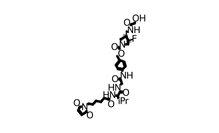 CC(C)C(NC(=O)CCCCCN1C(=O)C=CC1=O)C(=O)NCC(=O)Nc1ccc(COC(=O)N2C[C@@H](CNC(=O)CO)[C@@H](F)C2)cc1